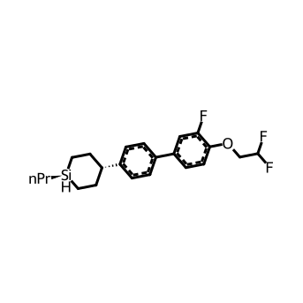 CCC[Si@H]1CC[C@H](c2ccc(-c3ccc(OCC(F)F)c(F)c3)cc2)CC1